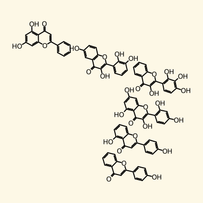 O=c1c(O)c(-c2ccc(O)c(O)c2O)oc2ccccc12.O=c1c(O)c(-c2ccc(O)cc2O)oc2cc(O)cc(O)c12.O=c1c(O)c(-c2cccc(O)c2O)oc2ccc(O)cc12.O=c1cc(-c2ccc(O)cc2)oc2cccc(O)c12.O=c1cc(-c2ccc(O)cc2)oc2ccccc12.O=c1cc(-c2ccccc2)oc2cc(O)cc(O)c12